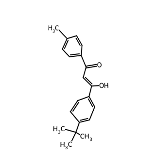 Cc1ccc(C(=O)/C=C(\O)c2ccc(C(C)(C)C)cc2)cc1